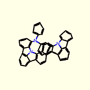 c1ccc(N(c2ccccc2)c2cccc3c4cccc5c6ccc7c(ccc8c7c7cccc9c%10ccccc%10n8c97)c6n(c23)c45)cc1